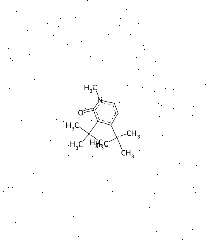 Cn1ccc(C(C)(C)C)c(C(C)(C)C)c1=O